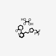 O=C(O)C(=O)O.O=C1CCCCN1c1ncccc1CCN1CC[C@@H](CC(F)(F)F)C1